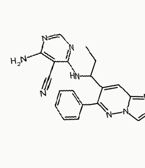 CCC(Nc1ncnc(N)c1C#N)c1cc2nccn2nc1-c1ccccc1